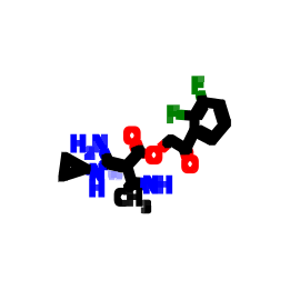 CC(=N)/C(C(=O)OCC(=O)c1cccc(F)c1F)=C(/N)NC1CC1